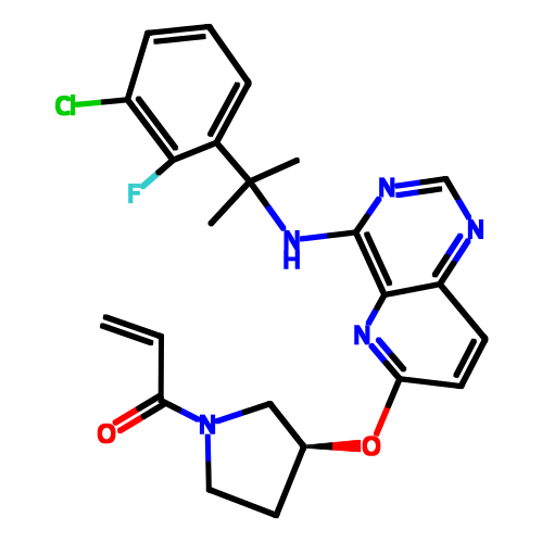 C=CC(=O)N1CC[C@H](Oc2ccc3ncnc(NC(C)(C)c4cccc(Cl)c4F)c3n2)C1